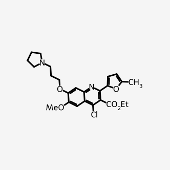 CCOC(=O)c1c(-c2ccc(C)o2)nc2cc(OCCCN3CCCC3)c(OC)cc2c1Cl